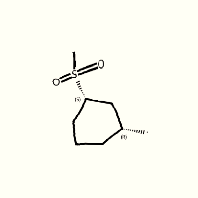 [CH2][C@@H]1CCC[C@H](S(C)(=O)=O)C1